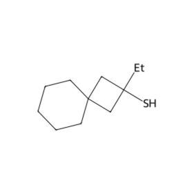 CCC1(S)CC2(CCCCC2)C1